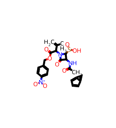 C=C(C)C(C(=O)OCc1ccc([N+](=O)[O-])cc1)N1C(=O)C(NC(C)=O)C1S(=O)O.c1cc2cc-2c1